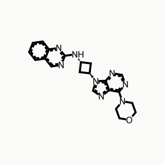 c1ccc2nc(N[C@H]3C[C@H](n4cnc5c(N6CCOCC6)ncnc54)C3)ncc2c1